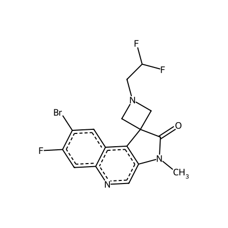 CN1C(=O)C2(CN(CC(F)F)C2)c2c1cnc1cc(F)c(Br)cc21